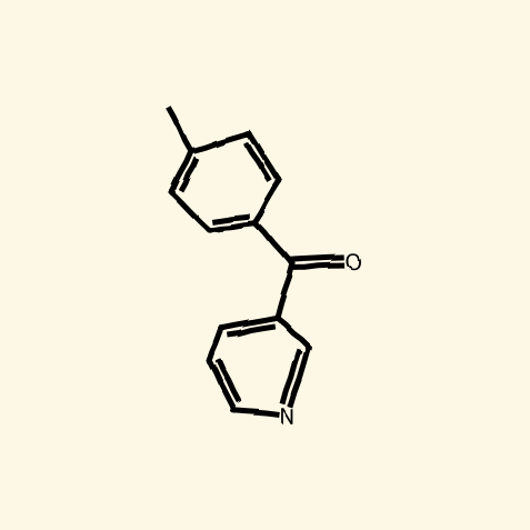 Cc1ccc(C(=O)c2cccnc2)cc1